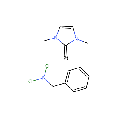 ClN(Cl)Cc1ccccc1.Cn1ccn(C)[c]1=[Pt]